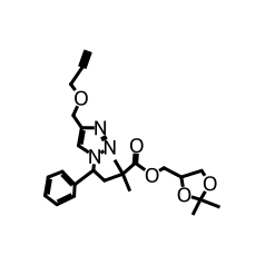 C#CCOCc1cn(C(CC(C)(C)C(=O)OCC2COC(C)(C)O2)c2ccccc2)nn1